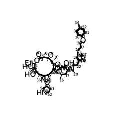 CC[C@H]1OC(=O)[C@H](C)C(=O)[C@H](C)[C@@H](O[C@@H]2O[C@H](C)C[C@H](N(C)CCc3cn(CCCOc4ccc(C)cc4)nn3)[C@H]2O)[C@](C)(OC)C[C@@H](C)/C(=N\O[C@@H]2CCNC2)[C@H](C)[C@@H](O)[C@]1(C)O